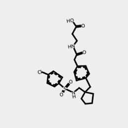 O=C(O)CCNC(=O)Cc1ccc(CC2(CNS(=O)(=O)c3ccc(Cl)cc3)CCCC2)cc1